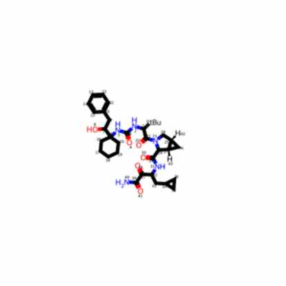 CC(C)(C)C(NC(=O)NC1(C(O)Cc2ccccc2)CCCCC1)C(=O)N1C[C@@H]2C[C@@H]2C1C(=O)NC(CC1CC1)C(=O)C(N)=O